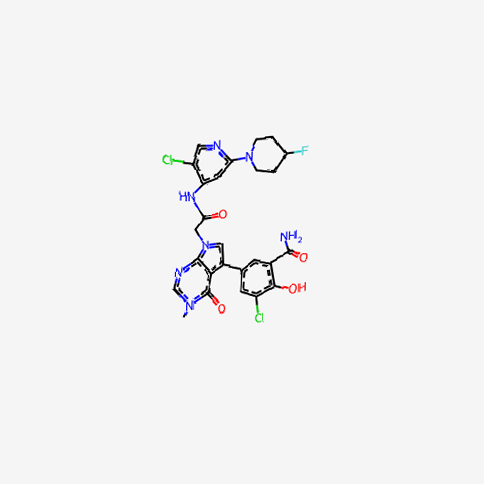 Cn1cnc2c(c(-c3cc(Cl)c(O)c(C(N)=O)c3)cn2CC(=O)Nc2cc(N3CCC(F)CC3)ncc2Cl)c1=O